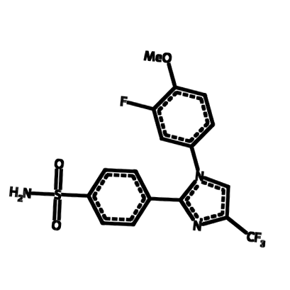 COc1ccc(-n2cc(C(F)(F)F)nc2-c2ccc(S(N)(=O)=O)cc2)cc1F